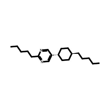 CCCCCc1ncc([C@H]2CC[C@H](CCCCC)CC2)cn1